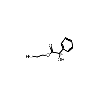 O=C(OCCO)[C@H](O)c1ccccc1